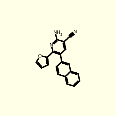 N#Cc1cc(-c2ccc3ccccc3c2)c(-c2ccco2)nc1N